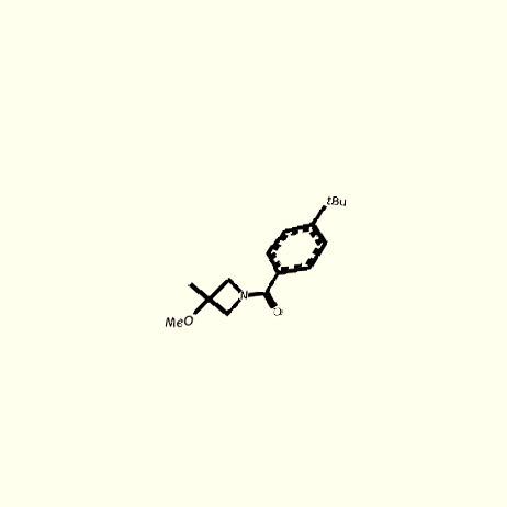 COC1(C)CN(C(=O)c2ccc(C(C)(C)C)cc2)C1